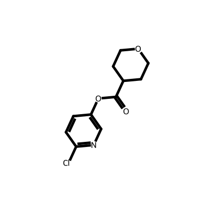 O=C(Oc1ccc(Cl)nc1)C1CCOCC1